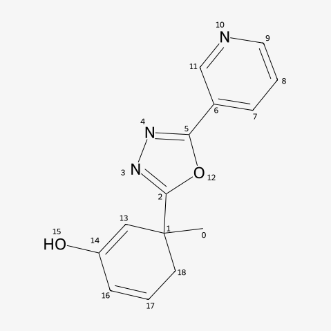 CC1(c2nnc(-c3cccnc3)o2)C=C(O)C=CC1